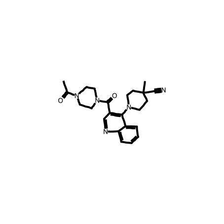 CC(=O)N1CCN(C(=O)c2cnc3ccccc3c2N2CCC(C)(C#N)CC2)CC1